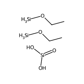 CCO[SiH3].CCO[SiH3].O=[Si](O)O